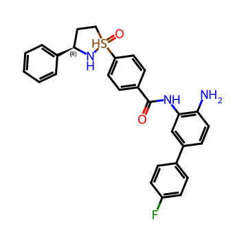 Nc1ccc(-c2ccc(F)cc2)cc1NC(=O)c1ccc([SH]2(=O)CC[C@H](c3ccccc3)N2)cc1